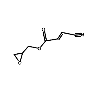 N#CC=CC(=O)OCC1CO1